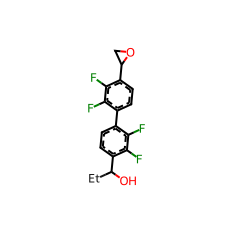 CCC(O)c1ccc(-c2ccc(C3CO3)c(F)c2F)c(F)c1F